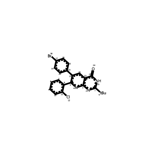 CC(C)(C)c1nc2nc(-c3ccccc3Cl)c(-c3ccc(Br)cc3)cc2c(=O)[nH]1